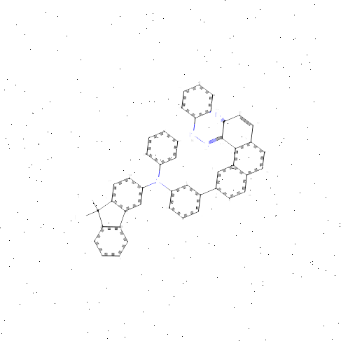 CC1(C)c2ccccc2-c2cc(N(c3ccccc3)c3cccc(-c4ccc5ccc6c(c5c4)/C(=N/Nc4ccccc4)C(=N)C=C6)c3)ccc21